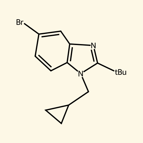 CC(C)(C)c1nc2cc(Br)ccc2n1CC1CC1